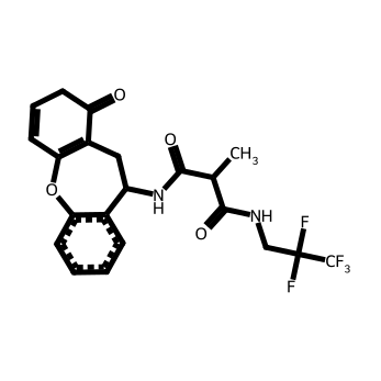 CC(C(=O)NCC(F)(F)C(F)(F)F)C(=O)NC1CC2=C(C=CCC2=O)Oc2ccccc21